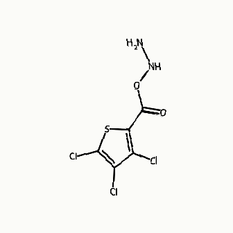 NNOC(=O)c1sc(Cl)c(Cl)c1Cl